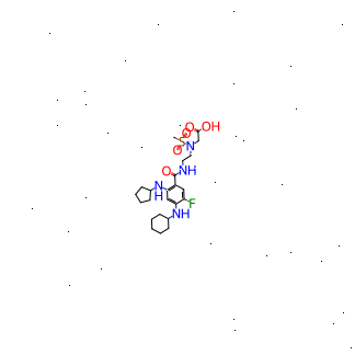 CS(=O)(=O)N(CCNC(=O)c1cc(F)c(NC2CCCCC2)cc1NC1CCCC1)CC(=O)O